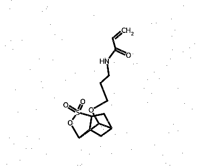 C=CC(=O)NCCCOC1C2CC3C1OS(=O)(=O)C3C2